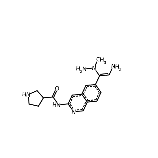 CN(N)/C(=C\N)c1ccc2cnc(NC(=O)C3CCNC3)cc2c1